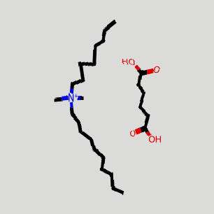 CCCCCCCCCC[N+](C)(C)CCCCCCCC.O=C(O)CCCCC(=O)O